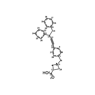 O=C(O)C1CN(Cc2ccc(C#CC(Cc3ccccc3)c3ccccc3)cc2)C1